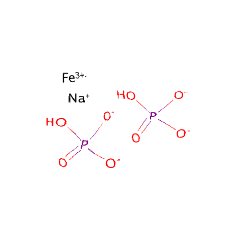 O=P([O-])([O-])O.O=P([O-])([O-])O.[Fe+3].[Na+]